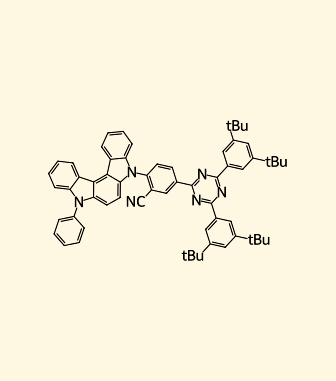 CC(C)(C)c1cc(-c2nc(-c3cc(C(C)(C)C)cc(C(C)(C)C)c3)nc(-c3ccc(-n4c5ccccc5c5c6c7ccccc7n(-c7ccccc7)c6ccc54)c(C#N)c3)n2)cc(C(C)(C)C)c1